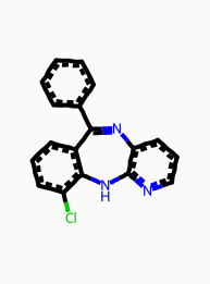 Clc1cccc2c1Nc1ncccc1N=C2c1ccccc1